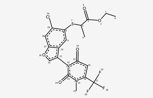 CCOC(=O)C(C)Sc1cc2c(-n3c(=O)cc(C(F)(F)F)n(C)c3=O)coc2cc1Cl